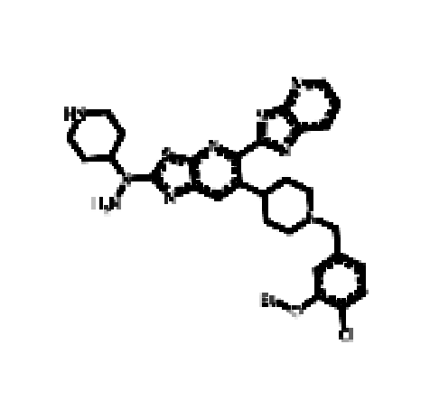 CCOc1cc(CN2CCC(c3cc4nc(N(N)C5CCNCC5)sc4nc3-c3nc4cccnc4s3)CC2)ccc1Cl